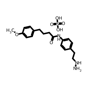 COc1ccc(CCCC(=O)Nc2ccc(CCNN)cc2)cc1.O=S(=O)(O)O